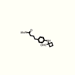 CNC(=O)CCCc1ccc(NC2(C=O)CCC2)cc1